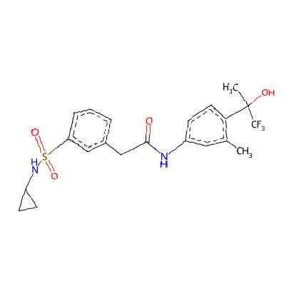 Cc1cc(NC(=O)Cc2cccc(S(=O)(=O)NC3CC3)c2)ccc1C(C)(O)C(F)(F)F